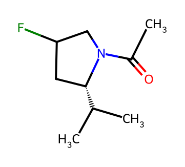 CC(=O)N1CC(F)C[C@H]1C(C)C